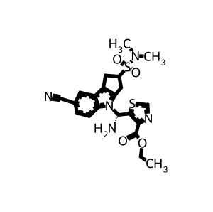 CCOC(=O)c1ncsc1[C@H](N)n1c2c(c3cc(C#N)ccc31)CC(S(=O)(=O)N(C)C)C2